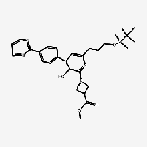 COC(=O)C1CN(C2=NC(CCCO[Si](C)(C)C(C)(C)C)=CN(c3ccc(-c4ncccn4)cc3)C2O)C1